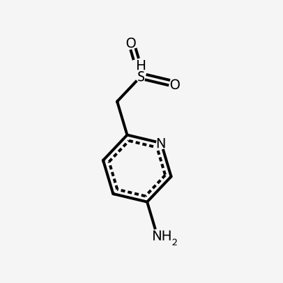 Nc1ccc(C[SH](=O)=O)nc1